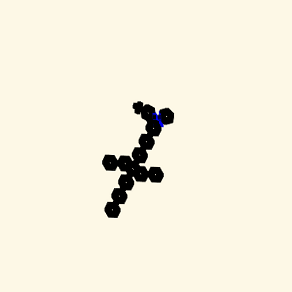 CC(C)(C)c1ccc2c(c1)c1cc(-c3ccc(-c4ccc(-c5c6ccc(-c7ccccc7)cc6c(-c6ccc(-c7ccc(-c8ccccc8)cc7)cc6)c6ccc(-c7ccccc7)cc56)cc4)cc3)ccc1n2-c1ccccc1